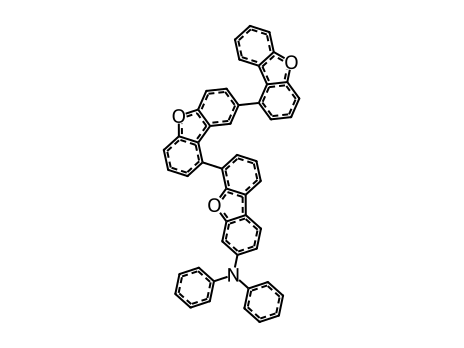 c1ccc(N(c2ccccc2)c2ccc3c(c2)oc2c(-c4cccc5oc6ccc(-c7cccc8oc9ccccc9c78)cc6c45)cccc23)cc1